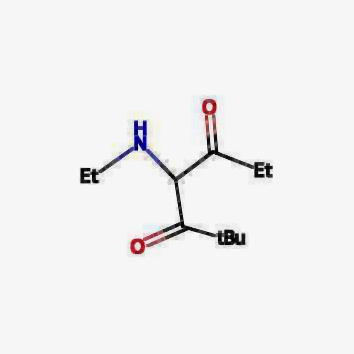 CCNC(C(=O)CC)C(=O)C(C)(C)C